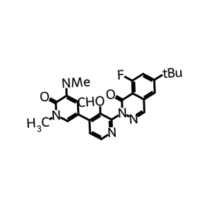 CNc1cc(-c2ccnc(-n3ncc4cc(C(C)(C)C)cc(F)c4c3=O)c2C=O)cn(C)c1=O